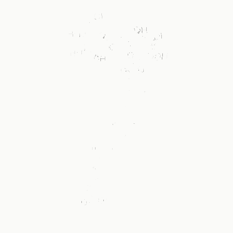 CCOC(=O)/C(C)=C/C=C/C(C)=C/C=C/C=C(C)/C=C/C=C(\C)C(=O)OC1OC(COC2OC(CO)C(O)C(O)C2O)C(O)C(O)C1O